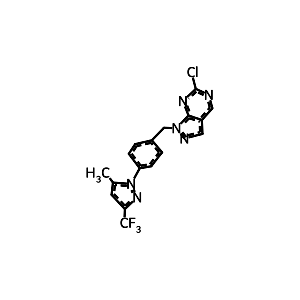 Cc1cc(C(F)(F)F)nn1-c1ccc(Cn2ncc3cnc(Cl)nc32)cc1